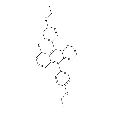 CCOc1ccc(-c2c3ccccc3c(-c3ccc(OCC)cc3)c3c(Cl)cccc23)cc1